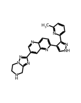 Cc1cccc(-c2n[nH]cc2-c2ccc3ncc(-c4nc5n(n4)CCNC5)cc3n2)n1